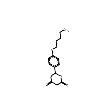 CCCCCOc1ccc(C2OC(=O)CC(=O)O2)cc1